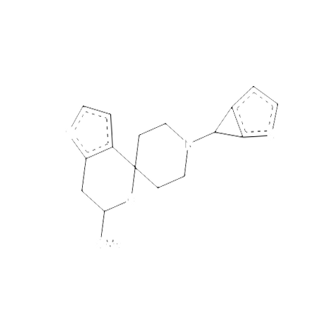 COC1Cc2sccc2C2(CCN(C3c4ccsc43)CC2)O1